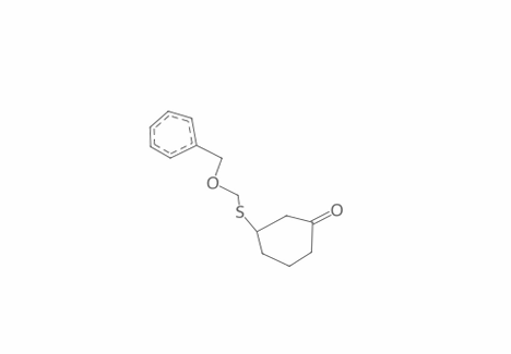 O=C1CCCC(SCOCc2ccccc2)C1